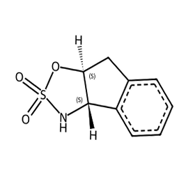 O=S1(=O)N[C@H]2c3ccccc3C[C@@H]2O1